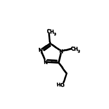 Cc1nnc(CO)n1C